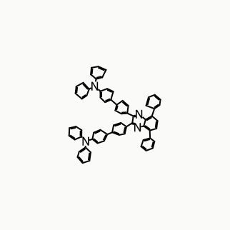 c1ccc(-c2ccc(-c3ccccc3)c3nc(-c4ccc(-c5ccc(N(c6ccccc6)c6ccccc6)cc5)cc4)c(-c4ccc(-c5ccc(N(c6ccccc6)c6ccccc6)cc5)cc4)nc23)cc1